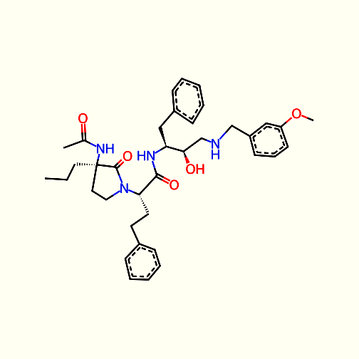 CCC[C@@]1(NC(C)=O)CCN([C@@H](CCc2ccccc2)C(=O)N[C@@H](Cc2ccccc2)[C@H](O)CNCc2cccc(OC)c2)C1=O